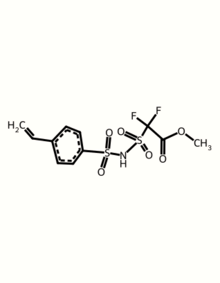 C=Cc1ccc(S(=O)(=O)NS(=O)(=O)C(F)(F)C(=O)OC)cc1